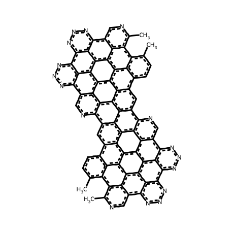 Cc1ncc2c3nnnc4c5nnnc6c7cnc8c9cc%10c%11ccc(C)c%12c%13c(C)ncc%14c%15nnnc%16c%17nnnc%18c%19cnc%20c%21cc%22c%23ccc(C)c%24c1c2c1c(c34)c(c65)c2c7c8c(c%21c9c3c%10c4c(c%11%12)c(c%14%13)c(c%15%16)c(c%18%17)c4c%19c%203)c%22c2c1c%23%24